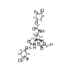 O=C(COc1ccc(Cl)c(F)c1)NC12CCC(NC(=O)COc3ccc(Cl)c(F)c3)(CC1)[C@@H](OC(=O)OCI)C2